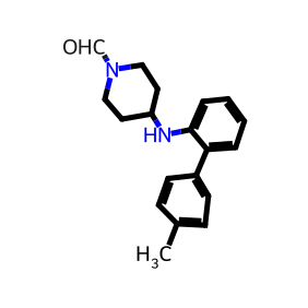 Cc1ccc(-c2ccccc2NC2CCN(C=O)CC2)cc1